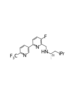 CC(C)C[C@H](C)NCc1nc(-c2ccc(C(F)(F)F)nc2)ccc1F